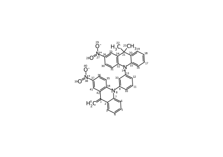 C=C1c2ccccc2N(c2cccc(N3c4ccccc4C(C)(C)c4cc([N+](=O)[O-])ccc43)c2)c2ccc([N+](=O)[O-])cc21